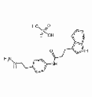 NNCCc1ccc(NC(=O)CCc2c[nH]c3ccccc23)cc1.O=S(=O)(O)O